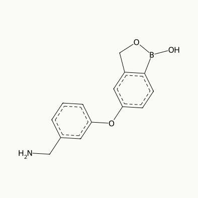 NCc1cccc(Oc2ccc3c(c2)COB3O)c1